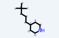 CC(C)(C)CCCC1CCNCC1